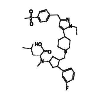 CCn1nc(Cc2ccc(S(C)(=O)=O)cc2)cc1C1CCN(CC2CC(N(C)[C@H](CC(C)C)C(=O)O)CC2c2cccc(F)c2)CC1